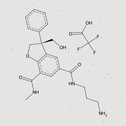 CNC(=O)c1cc(C(=O)NCCCN)cc2c1OC[C@]2(CO)c1ccccc1.O=C(O)C(F)(F)F